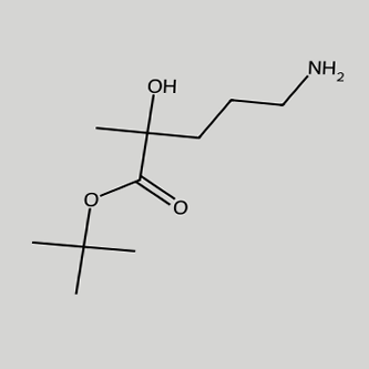 CC(C)(C)OC(=O)C(C)(O)CCCN